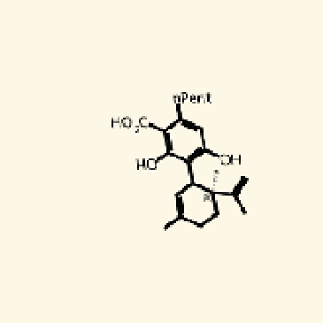 C=C(C)[C@@]1(C)CCC(C)=CC1c1c(O)cc(CCCCC)c(C(=O)O)c1O